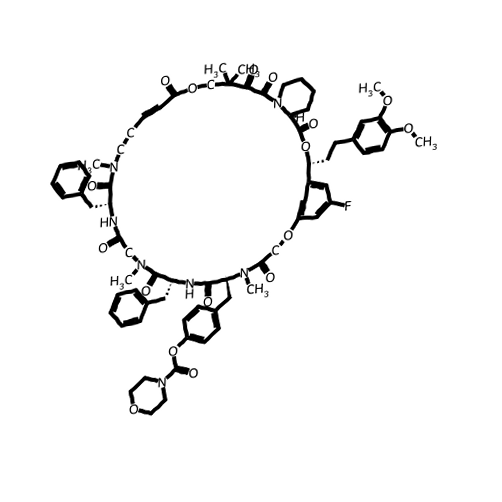 COc1ccc(CC[C@H]2OC(=O)[C@@H]3CCCCN3C(=O)C(=O)C(C)(C)COC(=O)/C=C/CCN(C)C(=O)[C@@H](Cc3ccccc3)NC(=O)CN(C)C(=O)[C@@H](Cc3ccccc3)NC(=O)[C@H](Cc3ccc(OC(=O)N4CCOCC4)cc3)N(C)C(=O)COc3cc(F)cc2c3)cc1OC